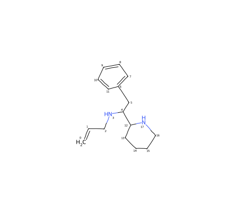 C=CCNC(Cc1ccccc1)C1CCCCN1